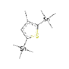 Cc1c[c]([Sn]([CH3])([CH3])[CH3])s[c]1[Sn]([CH3])([CH3])[CH3]